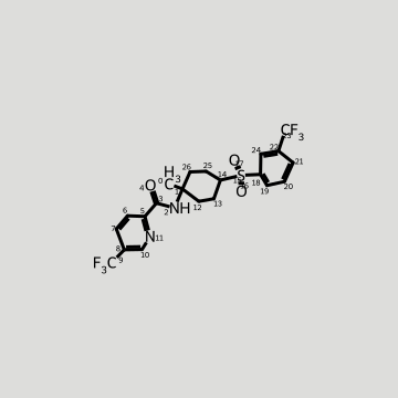 CC1(NC(=O)c2ccc(C(F)(F)F)cn2)CCC(S(=O)(=O)c2cccc(C(F)(F)F)c2)CC1